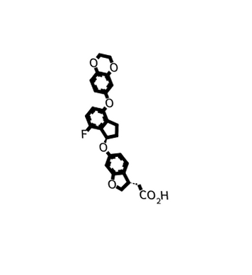 O=C(O)C[C@@H]1COc2cc(O[C@@H]3CCc4c(Oc5ccc6c(c5)OCCO6)ccc(F)c43)ccc21